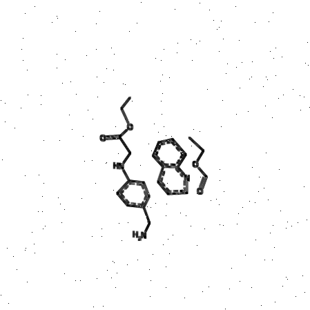 CCOC(=O)CNc1ccc(CN)cc1.CCOC=O.c1ccc2ncccc2c1